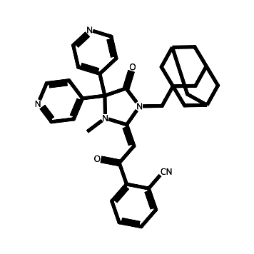 CN1C(=CC(=O)c2ccccc2C#N)N(CC23CC4CC(CC(C4)C2)C3)C(=O)C1(c1ccncc1)c1ccncc1